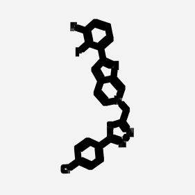 Fc1cccc(-c2cc3ccn(Cc4nnc(-c5ccc(Cl)cc5)s4)cc-3n2)c1F